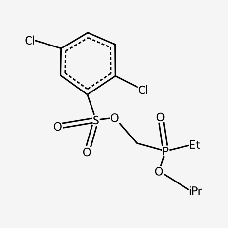 CCP(=O)(COS(=O)(=O)c1cc(Cl)ccc1Cl)OC(C)C